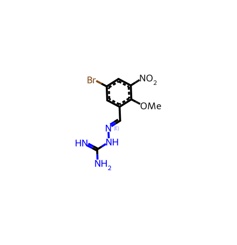 COc1c(/C=N/NC(=N)N)cc(Br)cc1[N+](=O)[O-]